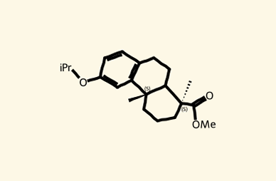 COC(=O)[C@@]1(C)CCC[C@]2(C)c3cc(OC(C)C)ccc3CCC12